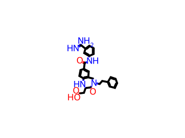 N=C(N)c1cccc(NC(=O)c2ccc3c(c2)CN(CCc2ccccc2)C(=O)C(CC(=O)O)N3)c1